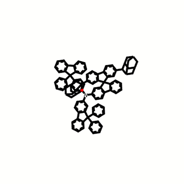 c1ccc(C2(c3ccc(N(c4ccc5c(c4)C(c4ccccc4)(c4ccccc4)c4ccccc4-5)c4ccc5c(c4)C4(c6ccccc6-5)c5cc(C6C7CC8CC(C7)CC6C8)ccc5-c5ccc(C67CC8CC(CC(C8)C6)C7)cc54)cc3)c3ccccc3-c3ccccc32)cc1